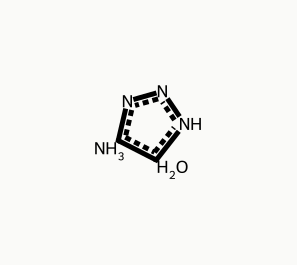 N.O.c1c[nH]nn1